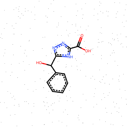 O=C(O)c1nnc(C(O)c2ccccc2)[nH]1